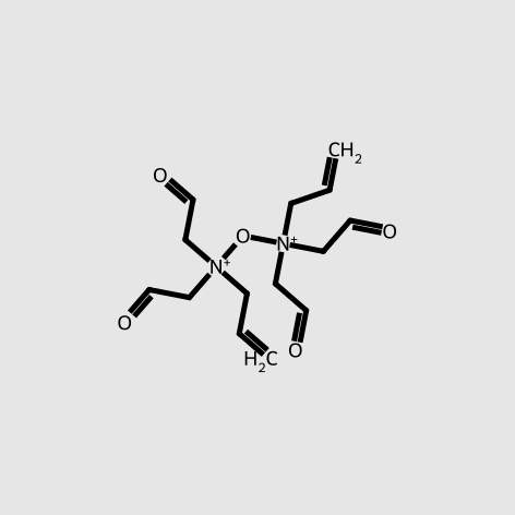 C=CC[N+](CC=O)(CC=O)O[N+](CC=C)(CC=O)CC=O